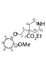 CCOC(=O)C1(CCOc2ccccc2OC)CCNCC1